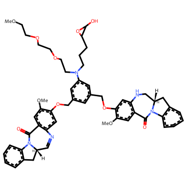 COCCOCCOCCN(CCCC1OC1O)c1cc(COc2cc3c(cc2OC)C(=O)N2c4ccccc4C[C@H]2C=N3)cc(COc2cc3c(cc2OC)C(=O)N2c4ccccc4C[C@H]2CN3)c1